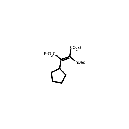 CCCCCCCCCC/C(C(=O)OCC)=C(/C(=O)OCC)C1CCCC1